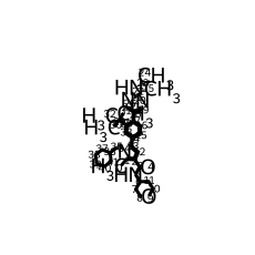 Cc1c(C(=O)NC2CCOCC2)cc(-c2ccc(-c3cnc(NC(C)C)nc3)c(C(C)(C)C)c2)n1CC1CCCCC1